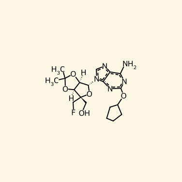 CC1(C)O[C@H]2[C@H](n3cnc4c(N)nc(OC5CCCC5)nc43)O[C@](CO)(CF)[C@H]2O1